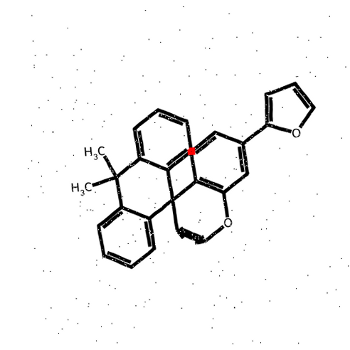 CC1(C)c2ccccc2C2(c3ccccc3Oc3cc(-c4ccco4)ccc32)c2ccccc21